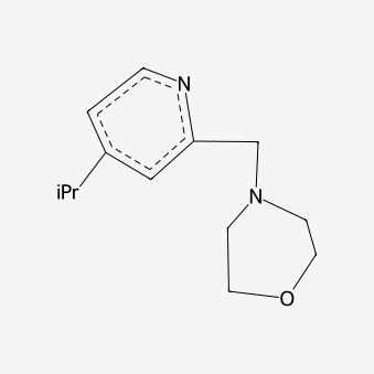 CC(C)c1ccnc(CN2CCOCC2)c1